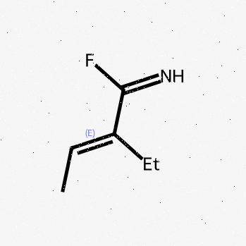 C/C=C(\CC)C(=N)F